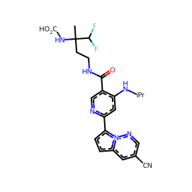 CC(C)Nc1cc(-c2ccc3cc(C#N)cnn23)ncc1C(=O)NCCC(C)(NC(=O)O)C(F)F